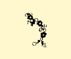 Cc1cc(Oc2ccc(NC(=O)Oc3ccc(N(CCCl)CCCl)cc3)cc2)c2cc3c(cc2n1)OCO3